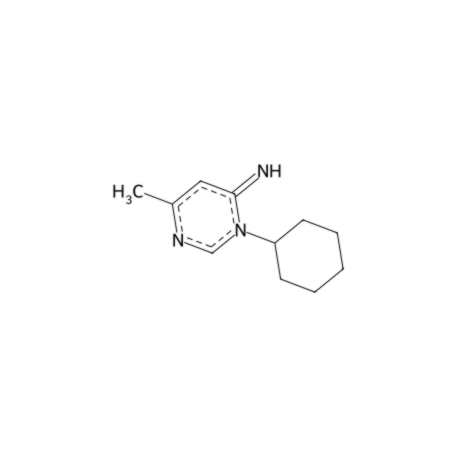 Cc1cc(=N)n(C2CCCCC2)cn1